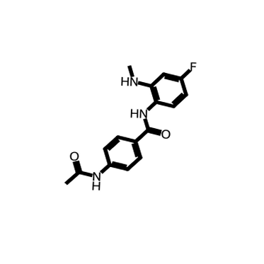 CNc1cc(F)ccc1NC(=O)c1ccc(NC(C)=O)cc1